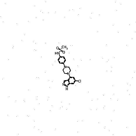 CS(=O)(=O)Nc1ccc(N2CCN(c3cc(Cl)cc4[nH]ncc34)CC2)cc1